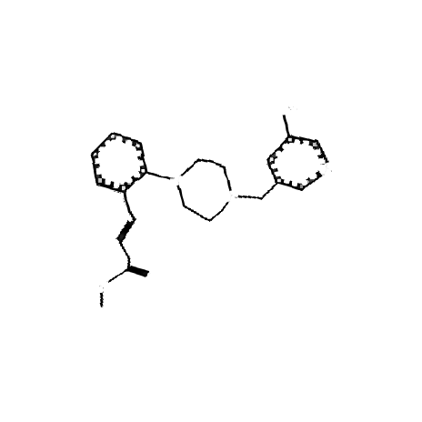 COc1cncc(CN2CCN(c3ccccc3/C=C/C(=O)NO)CC2)c1